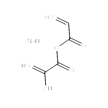 C=CC(=O)OC(=O)C(=C)C.[NaH]